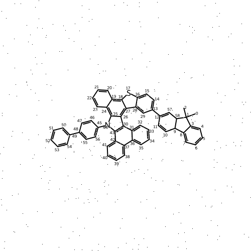 CC1(C)c2ccccc2C2C=CC(c3ccc4sc5c6ccccc6c6c(c5c4c3)c3c4ccccc4c4ccccc4c3n6-c3ccc(-c4ccccc4)cc3)=CC21